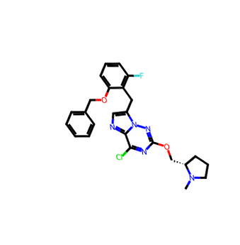 CN1CCC[C@H]1COc1nc(Cl)c2ncc(Cc3c(F)cccc3OCc3ccccc3)n2n1